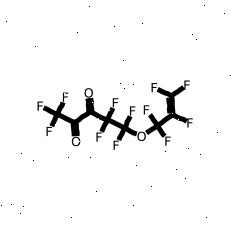 O=C(C(=O)C(F)(F)C(F)(F)OC(F)(F)C(F)=C(F)F)C(F)(F)F